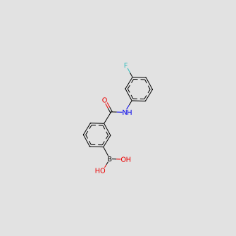 O=C(Nc1cccc(F)c1)c1cccc(B(O)O)c1